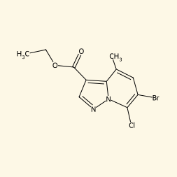 CCOC(=O)c1cnn2c(Cl)c(Br)cc(C)c12